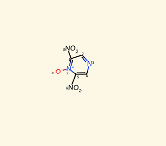 O=[N+]([O-])c1cncc([N+](=O)[O-])[n+]1[O-]